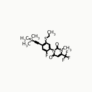 CCSc1cc(-n2c(=O)cc(C(F)(F)F)n(C)c2=O)c(F)cc1C#C[Si](C)(C)C